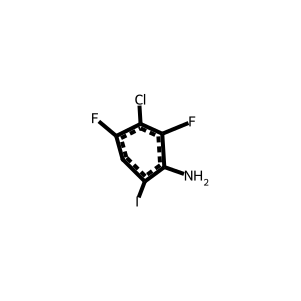 Nc1c(I)cc(F)c(Cl)c1F